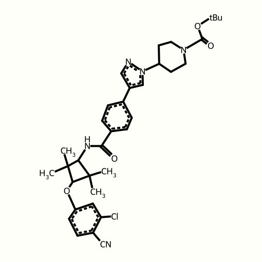 CC(C)(C)OC(=O)N1CCC(n2cc(-c3ccc(C(=O)NC4C(C)(C)C(Oc5ccc(C#N)c(Cl)c5)C4(C)C)cc3)cn2)CC1